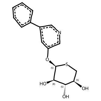 O[C@@H]1[C@@H](O)[C@@H](Oc2cncc(-c3ccccc3)c2)SC[C@H]1O